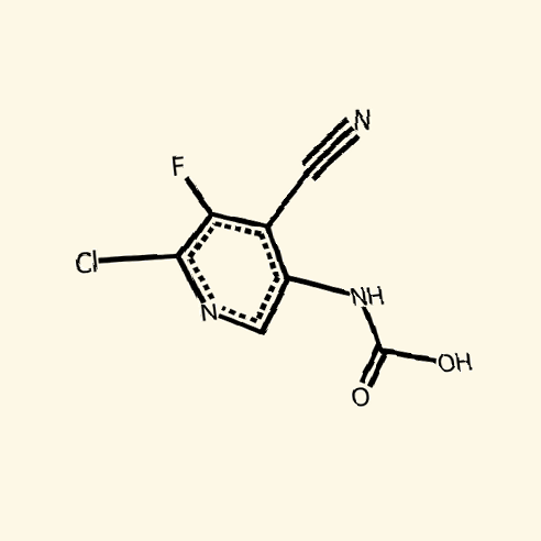 N#Cc1c(NC(=O)O)cnc(Cl)c1F